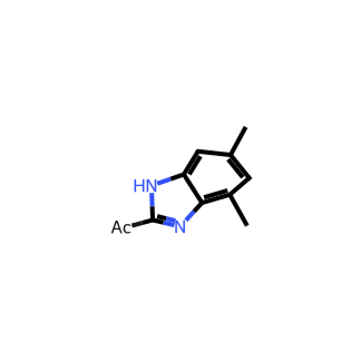 CC(=O)c1nc2c(C)cc(C)cc2[nH]1